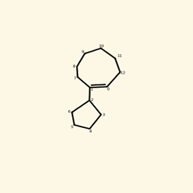 C1=C(C2CCCC2)CCCCCC1